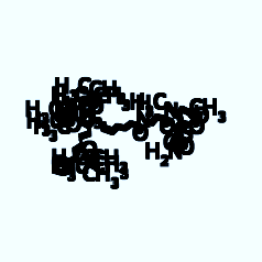 CCN(C(=O)CCNC(=O)CCC/C=C\C[C@@H]1[C@@H](CC[C@@H](CCc2ccccc2)O[Si](C)(C)C(C)(C)C)[C@H](O[Si](C)(C)C(C)(C)C)C[C@@H]1O[Si](C)(C)C(C)(C)C)[C@H]1C[C@H](C)S(=O)(=O)c2sc(S(N)(=O)=O)cc21